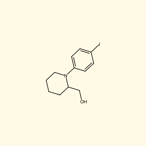 OCC1CCCCN1c1ccc(I)cc1